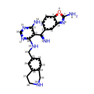 N=C(c1ccc2oc(N)nc2c1)c1c(N)ncnc1NCc1ccc2c(c1)CCNC2